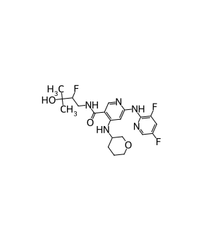 CC(C)(O)C(F)CNC(=O)c1cnc(Nc2ncc(F)cc2F)cc1NC1CCCOC1